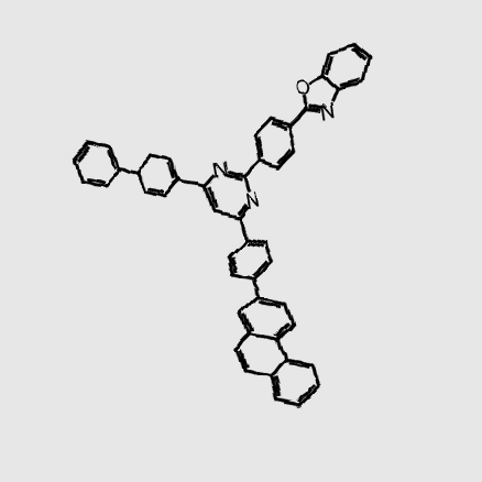 C1=CC(c2ccccc2)CC=C1c1cc(-c2ccc(-c3ccc4c(ccc5ccccc54)c3)cc2)nc(-c2ccc(-c3nc4ccccc4o3)cc2)n1